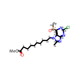 COC(=O)CCCCCCCCCn1c(C)nc2nc(Cl)nc([S+]([O-])C(C)C)c21